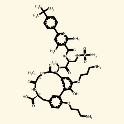 Cc1cc(-c2ccc(C(C)(C)C)cc2)nc(N)c1C(=O)N[C@@H](CNS(N)(=O)=O)C(=O)N(C)[C@@H]1C(=O)N[C@@H](C)C(=O)N[C@H](C(=O)O)Cc2ccc(OCCCN)c(c2)-c2cc1cc(OCCCN)c2O